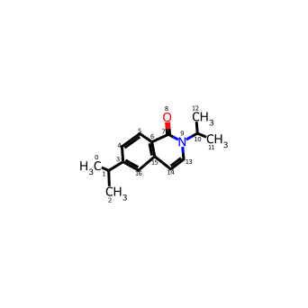 CC(C)c1ccc2c(=O)n(C(C)C)ccc2c1